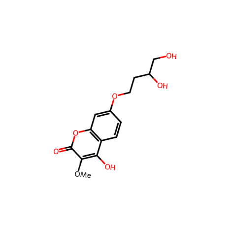 COc1c(O)c2ccc(OCCC(O)CO)cc2oc1=O